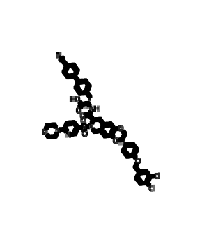 N#Cc1ccc(-c2ccc(C[C@H](NC(=O)C3Cc4cc5c(cc4CN3S(=O)(=O)c3ccc(N4CCOCC4)nc3)O[C@@H](c3ccc(OCc4ccc(Cl)c(Cl)c4)cc3)CO5)C(=O)O)cc2)cc1